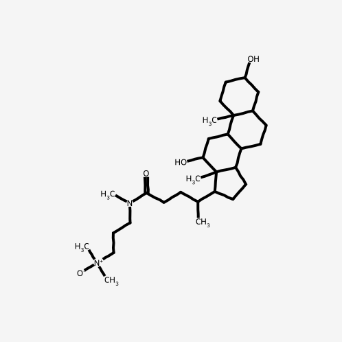 CC(CCC(=O)N(C)CCC[N+](C)(C)[O-])C1CCC2C3CCC4CC(O)CCC4(C)C3CC(O)C12C